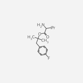 CC(C)C(N)C(=O)OC(C)(C)Cc1ccc(F)cc1